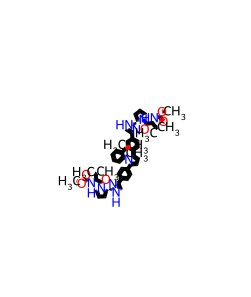 COC(=O)N[C@H](C(=O)N1CCC[C@H]1c1nc(-c2ccc(-c3ccc(-c4ccc(-c5c[nH]c([C@@H]6CCCN6C(=O)[C@@H](NC(=O)OC)C(C)C)n5)cc4)n3-c3ccccc3C(C)(C)C)cc2)c[nH]1)C(C)C